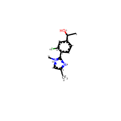 CC(O)c1ccc(-c2nc(C(F)(F)F)cn2C)c(F)c1